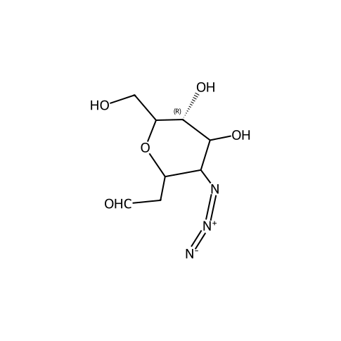 [N-]=[N+]=NC1C(CC=O)OC(CO)[C@H](O)C1O